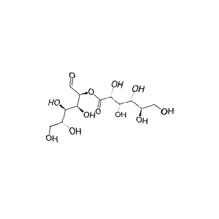 O=C[C@@H](OC(=O)[C@H](O)[C@@H](O)[C@H](O)[C@H](O)CO)[C@@H](O)[C@H](O)[C@H](O)CO